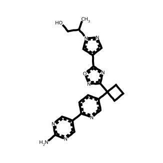 CC(CO)n1cc(-c2nc(C3(c4ccc(-c5cnc(N)nc5)nc4)CCC3)no2)cn1